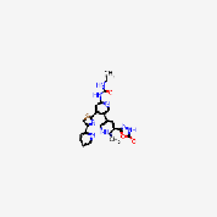 C=C/C(=C\C(=C/N)c1cnc(NC(=O)NCC)cc1-c1nc(-c2ccccn2)cs1)c1n[nH]c(=O)o1